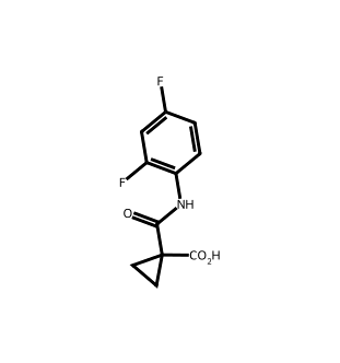 O=C(O)C1(C(=O)Nc2ccc(F)cc2F)CC1